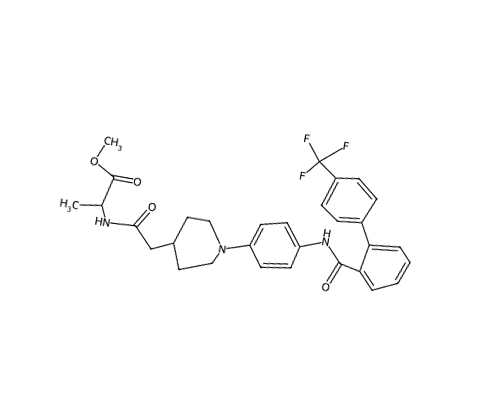 COC(=O)C(C)NC(=O)CC1CCN(c2ccc(NC(=O)c3ccccc3-c3ccc(C(F)(F)F)cc3)cc2)CC1